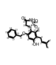 CC(C)=CCc1c(O)cc(OCc2ccccc2)c(N2CC(=O)NS2(=O)=O)c1F